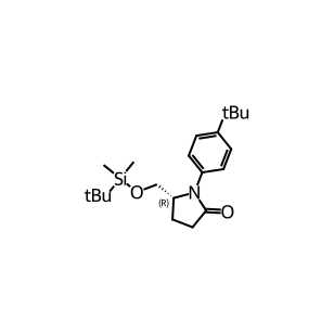 CC(C)(C)c1ccc(N2C(=O)CC[C@@H]2CO[Si](C)(C)C(C)(C)C)cc1